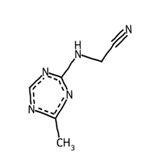 Cc1ncnc(NCC#N)n1